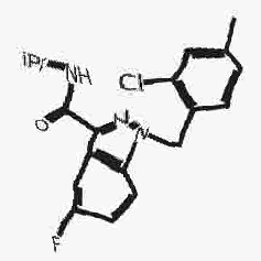 Cc1ccc(Cn2nc(C(=O)NC(C)C)c3cc(F)ccc32)c(Cl)c1